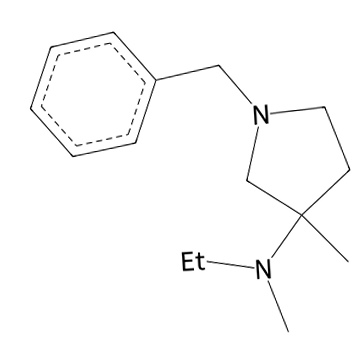 CCN(C)C1(C)CCN(Cc2ccccc2)C1